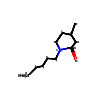 CCCCCCCCCCCN1CCC(C)CC1=O